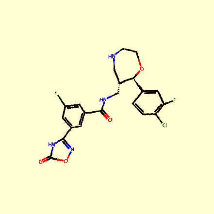 O=C(NC[C@@H]1CNCCO[C@H]1c1ccc(Cl)c(F)c1)c1cc(F)cc(-c2noc(=O)[nH]2)c1